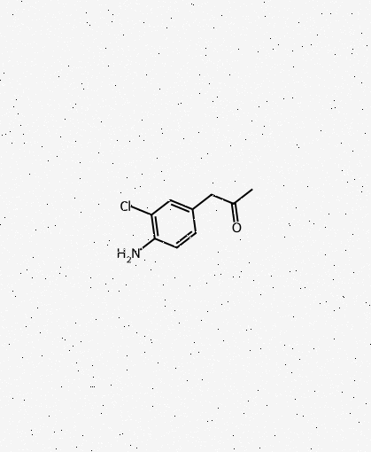 CC(=O)Cc1ccc(N)c(Cl)c1